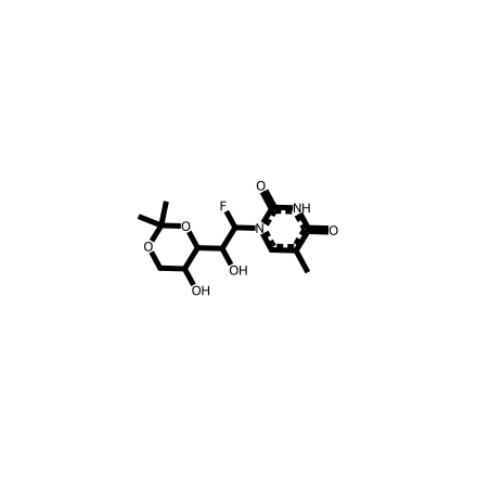 Cc1cn(C(F)C(O)C2OC(C)(C)OCC2O)c(=O)[nH]c1=O